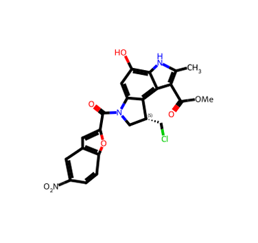 COC(=O)c1c(C)[nH]c2c(O)cc3c(c12)[C@H](CCl)CN3C(=O)c1cc2cc([N+](=O)[O-])ccc2o1